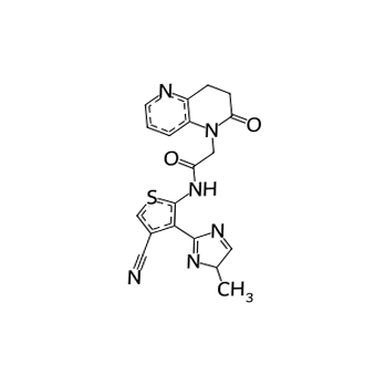 CC1C=NC(c2c(C#N)csc2NC(=O)CN2C(=O)CCc3ncccc32)=N1